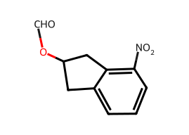 O=COC1Cc2cccc([N+](=O)[O-])c2C1